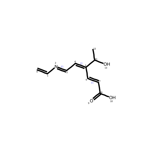 C=C/N=C/C=C(\C=C\C(=O)O)C(C)O